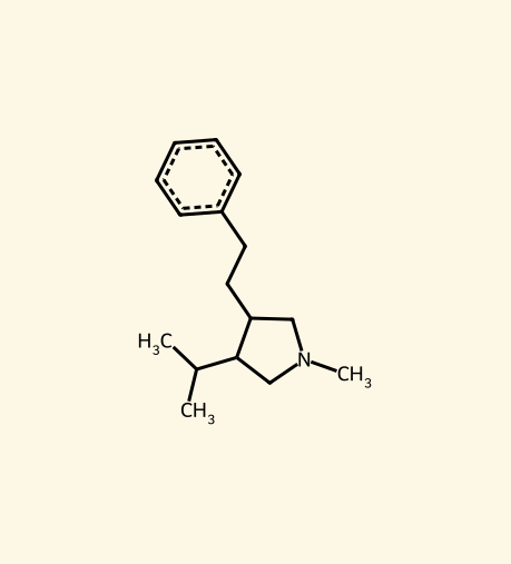 CC(C)C1CN(C)CC1CCc1ccccc1